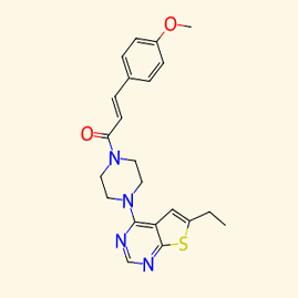 CCc1cc2c(N3CCN(C(=O)C=Cc4ccc(OC)cc4)CC3)ncnc2s1